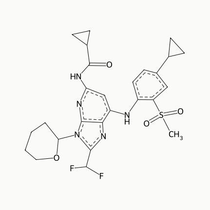 CS(=O)(=O)c1cc(C2CC2)ccc1Nc1cc(NC(=O)C2CC2)nc2c1nc(C(F)F)n2C1CCCCO1